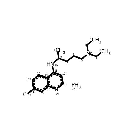 CCN(CC)CCCC(C)Nc1ccnc2cc(Cl)ccc12.P